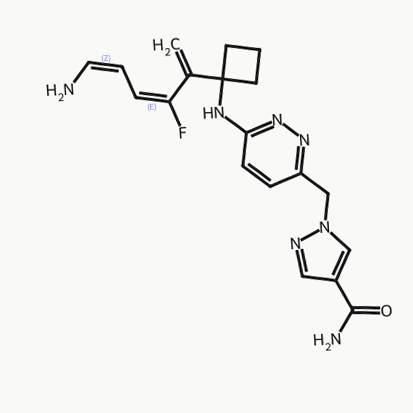 C=C(/C(F)=C\C=C/N)C1(Nc2ccc(Cn3cc(C(N)=O)cn3)nn2)CCC1